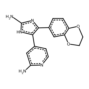 Nc1cc(-c2[nH]c(N)nc2-c2ccc3c(c2)OCCO3)ccn1